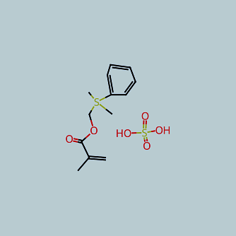 C=C(C)C(=O)OCS(C)(C)c1ccccc1.O=S(=O)(O)O